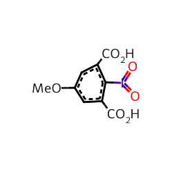 COc1cc(C(=O)O)c(I(=O)=O)c(C(=O)O)c1